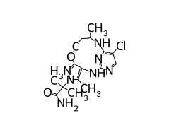 Cc1c2c(nn1C(C)(C)C(N)=O)OCCC(C)Nc1nc(ncc1Cl)N2